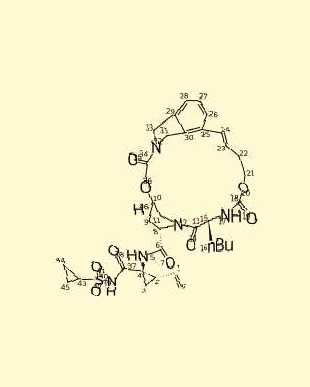 C=C[C@@H]1C[C@]1(NC(=O)[C@@H]1C[C@@H]2CN1C(=O)[C@H](CCCC)NC(=O)OCC/C=C/c1cccc3c1CN(C3)C(=O)O2)C(=O)NS(=O)(=O)C1CC1